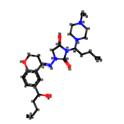 CCCC(O)c1ccc2c(c1)/C(=N/N1CC(=O)N(C(CCC)N3CCN(C)CC3)C1=O)CCO2